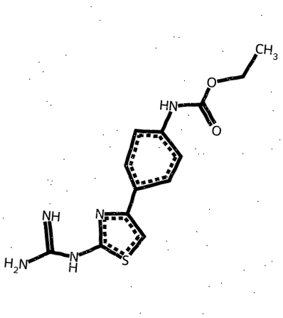 CCOC(=O)Nc1ccc(-c2csc(NC(=N)N)n2)cc1